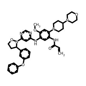 C=CC(=O)Nc1cc(Nc2cc(N3OCCC3c3cccc(Oc4ccccc4)c3)ncn2)c(OC)cc1N1CCC(N2CCOCC2)CC1